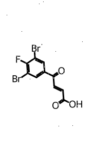 O=C(O)C=CC(=O)c1cc(Br)c(F)c(Br)c1